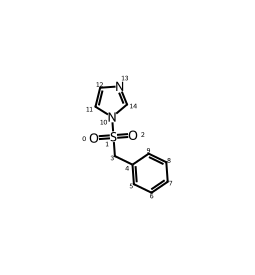 O=S(=O)(Cc1ccccc1)n1ccnc1